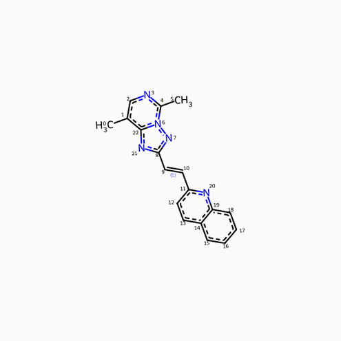 Cc1cnc(C)n2nc(/C=C/c3ccc4ccccc4n3)nc12